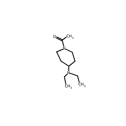 CCN(CC)C1CCN(C(C)=O)CC1